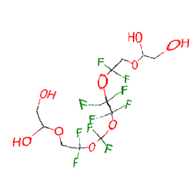 OCC(O)OCC(F)(F)OC(F)(F)OC(F)(F)C(F)(F)OC(F)(F)COC(O)CO